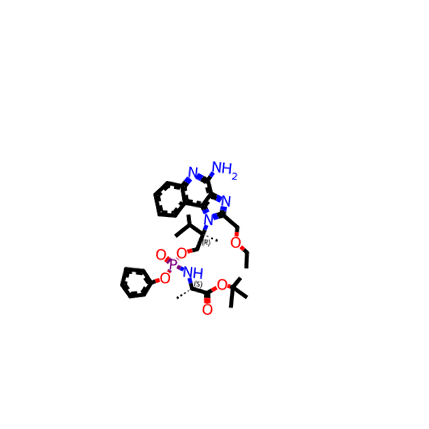 CCOCc1nc2c(N)nc3ccccc3c2n1[C@@](C)(COP(=O)(N[C@@H](C)C(=O)OC(C)(C)C)Oc1ccccc1)C(C)C